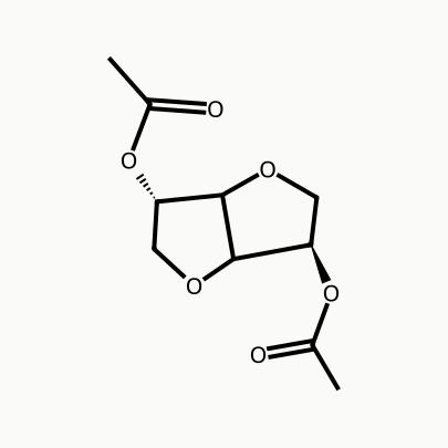 CC(=O)O[C@H]1COC2C1OC[C@H]2OC(C)=O